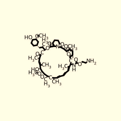 CO[C@@H]1C[C@H](C[C@@H](C)[C@@H]2CC(=O)[C@H](C)/C=C(\C)[C@@H](O)[C@@H](OC)C(=O)[C@H](C)C[C@H](C)/C=C/C=C/C=C(\C)C(NC(=O)OCCN)C[C@@H]3CC[C@@H](C)[C@@](O)(O3)C(=O)C(=O)N3CCCC[C@H]3C(=O)O2)CC[C@H]1O